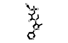 CCN(C(=O)C(C)CS(C)(=O)=NC#N)c1cn(-c2cccnc2)nc1C